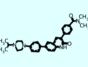 CC(C)N1CCN(c2ccc(-c3ccc4[nH]c(=O)c(-c5ccc(C(=O)N(C)C)cc5)cc4c3)cc2)CC1